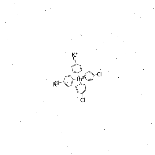 Clc1cc[c]([Th-2]([c]2ccc(Cl)cc2)([c]2ccc(Cl)cc2)[c]2ccc(Cl)cc2)cc1.[K+].[K+]